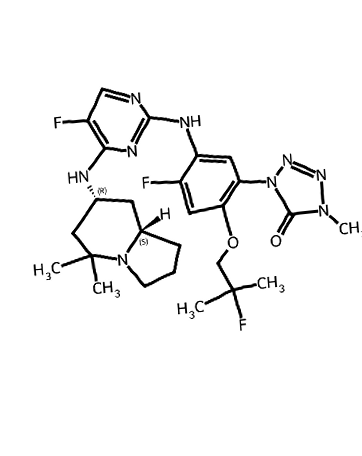 Cn1nnn(-c2cc(Nc3ncc(F)c(N[C@@H]4C[C@@H]5CCCN5C(C)(C)C4)n3)c(F)cc2OCC(C)(C)F)c1=O